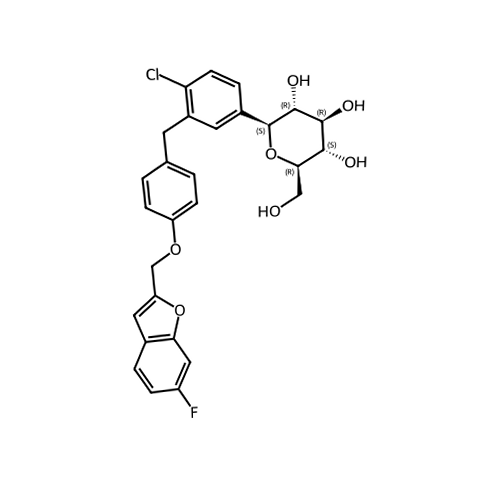 OC[C@H]1O[C@@H](c2ccc(Cl)c(Cc3ccc(OCc4cc5ccc(F)cc5o4)cc3)c2)[C@H](O)[C@@H](O)[C@@H]1O